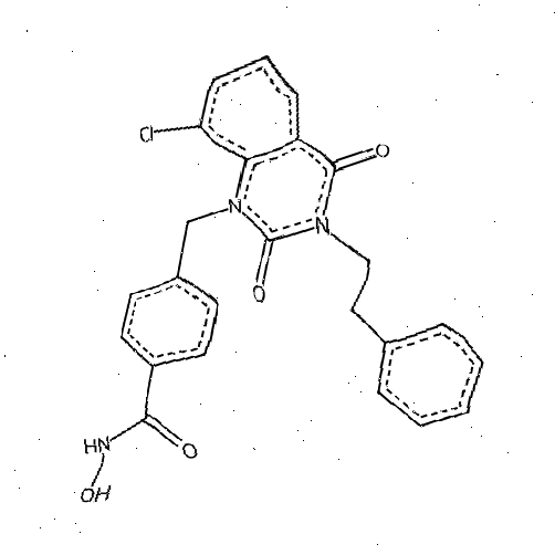 O=C(NO)c1ccc(Cn2c(=O)n(CCc3ccccc3)c(=O)c3cccc(Cl)c32)cc1